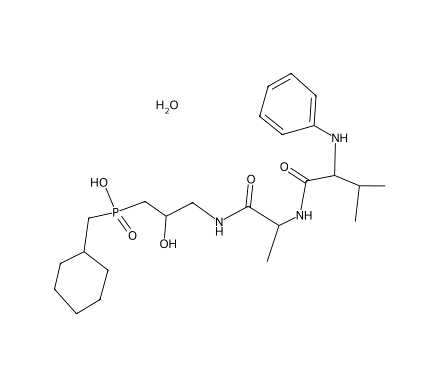 CC(NC(=O)C(Nc1ccccc1)C(C)C)C(=O)NCC(O)CP(=O)(O)CC1CCCCC1.O